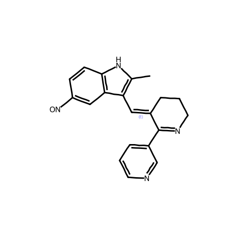 Cc1[nH]c2ccc(N=O)cc2c1/C=C1\CCCN=C1c1cccnc1